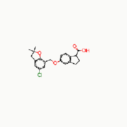 CC1(C)Cc2cc(Cl)cc(COc3ccc4c(c3)CCC4C(=O)O)c2O1